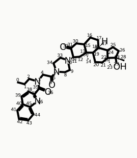 CCCN(CC(=O)N1CCN([C@H]2C[C@@]3(C)C(CC[C@@H]4C3CC[C@@]3(C)C4CC[C@]3(C)O)CC2=O)CC1)C(=O)c1ccc2ccccc2n1